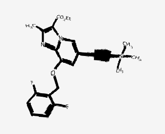 CCOC(=O)c1c(C)nc2c(OCc3c(F)cccc3F)cc(C#C[Si](C)(C)C)cn12